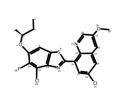 C[CH][C@H](C)Oc1cc2sc(-c3cc(Cl)cc4cc(OC)cnc34)nc2c(Cl)c1F